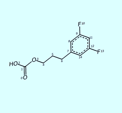 O=C(O)OCCCc1cc(F)cc(F)c1